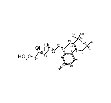 CC1(C)CC(c2ccc(F)cc2)=C(CCCO[PH](=O)C[C@@H](O)CC(=O)O)C(C)(C)C1